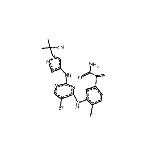 C=C(C(N)=O)c1ccc(F)c(Nc2nc(Nc3cnn(C(C)(C)C#N)c3)ncc2Br)c1